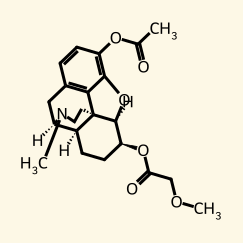 COCC(=O)O[C@H]1CC[C@H]2[C@H]3Cc4ccc(OC(C)=O)c5c4[C@@]2(CCN3C)[C@H]1O5